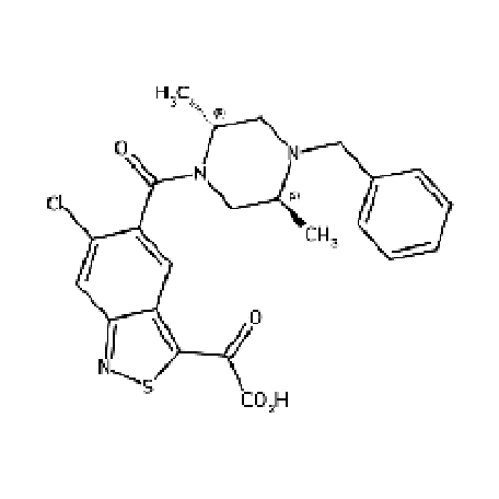 C[C@@H]1CN(Cc2ccccc2)[C@@H](C)CN1C(=O)c1cc2c(C(=O)C(=O)O)snc2cc1Cl